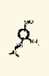 CN(C)/C=N/c1ccc(N=O)cc1N